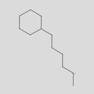 C[CH]CCCCC1CCCCC1